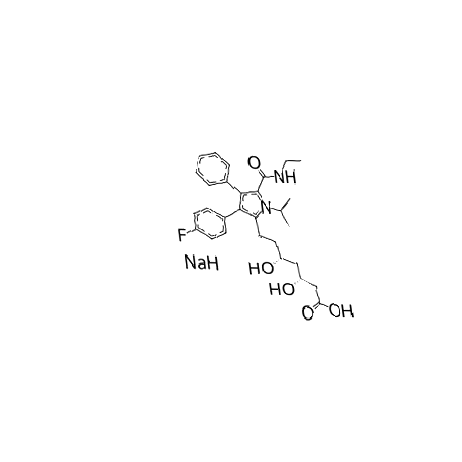 CCNC(=O)c1c(-c2ccccc2)c(-c2ccc(F)cc2)c(CC[C@@H](O)C[C@@H](O)CC(=O)O)n1C(C)C.[NaH]